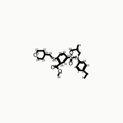 CCc1ccc(N(CC(C)C)S(=O)(=O)c2ccc(SCC3CCOCC3)c(C(=O)OC)c2)cc1